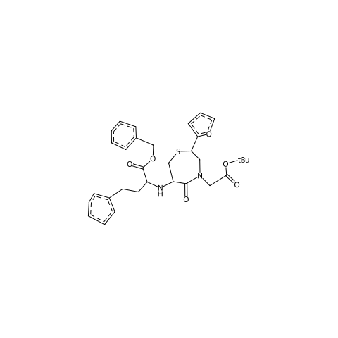 CC(C)(C)OC(=O)CN1CC(c2ccco2)SCC(NC(CCc2ccccc2)C(=O)OCc2ccccc2)C1=O